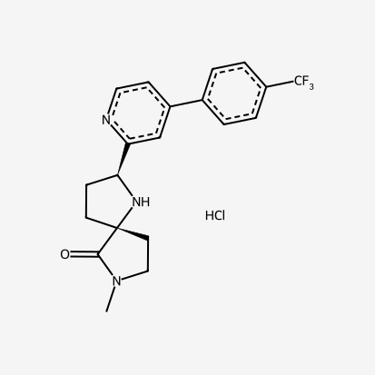 CN1CC[C@]2(CC[C@@H](c3cc(-c4ccc(C(F)(F)F)cc4)ccn3)N2)C1=O.Cl